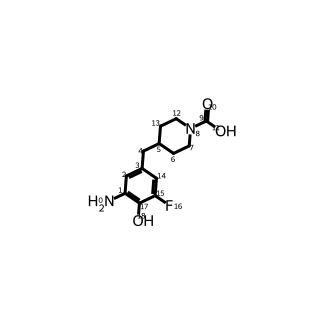 Nc1cc(CC2CCN(C(=O)O)CC2)cc(F)c1O